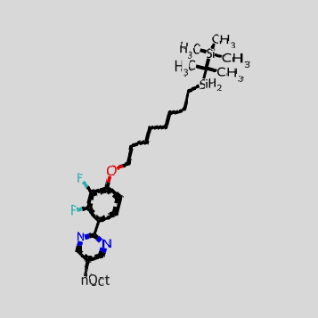 CCCCCCCCc1cnc(-c2ccc(OCCCCCCCC[SiH2]C(C)(C)[Si](C)(C)C)c(F)c2F)nc1